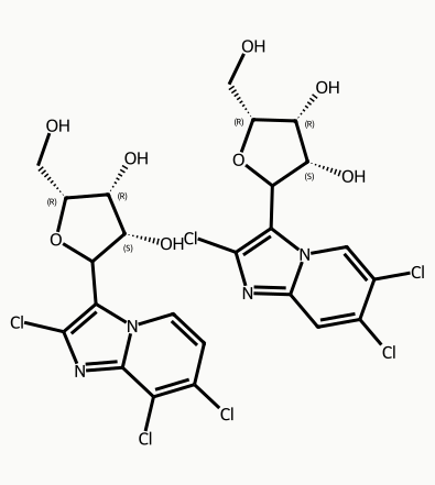 OC[C@H]1OC(c2c(Cl)nc3c(Cl)c(Cl)ccn23)[C@@H](O)[C@H]1O.OC[C@H]1OC(c2c(Cl)nc3cc(Cl)c(Cl)cn23)[C@@H](O)[C@H]1O